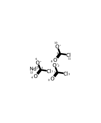 O=C([O-])Cl.O=C([O-])Cl.O=C([O-])Cl.[Nd+3]